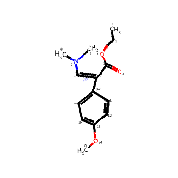 CCOC(=O)/C(=C\N(C)C)c1ccc(OC)cc1